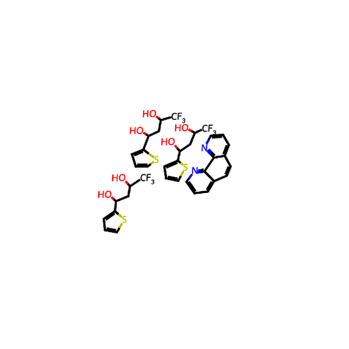 OC(CC(O)C(F)(F)F)c1cccs1.OC(CC(O)C(F)(F)F)c1cccs1.OC(CC(O)C(F)(F)F)c1cccs1.c1cnc2c(c1)ccc1cccnc12